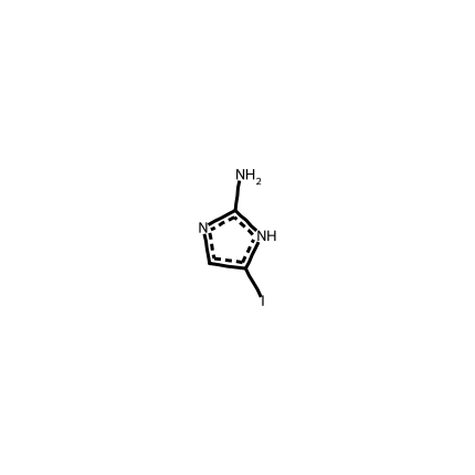 Nc1ncc(I)[nH]1